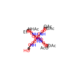 CC[C@H]1O[C@@H](OCCOCCNC(=O)CCOCC(COCCC(=O)NCCOCCO[C@@H]2O[C@H](COC(C)=O)[C@H](OC(C)=O)[C@H](C)[C@H]2C)(COCCC(=O)NCCOCCO[C@@H]2O[C@H](COC(C)=O)[C@H](OC(C)=O)[C@H](C)[C@H]2C)NC(=O)CCOCCOCCNC(=O)CCc2ccc(O)cc2)[C@H](NC(C)=O)[C@@H](C)[C@H]1C